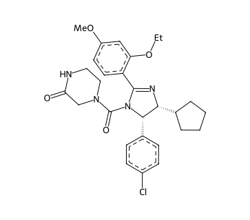 CCOc1cc(OC)ccc1C1=N[C@H](C2CCCC2)[C@H](c2ccc(Cl)cc2)N1C(=O)N1CCNC(=O)C1